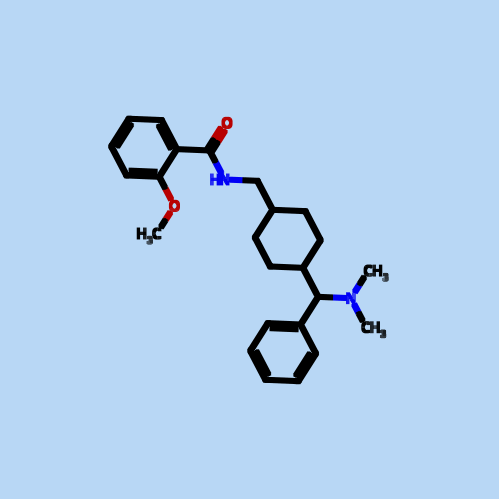 COc1ccccc1C(=O)NCC1CCC(C(c2ccccc2)N(C)C)CC1